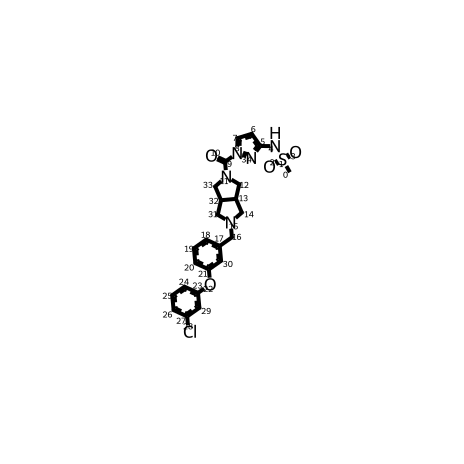 CS(=O)(=O)Nc1ccn(C(=O)N2CC3CN(Cc4cccc(Oc5cccc(Cl)c5)c4)CC3C2)n1